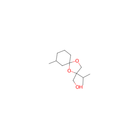 CC1CCCC2(C1)OCC(CO)(C(C)C)O2